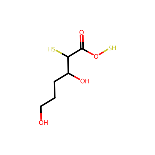 O=C(OS)C(S)C(O)CCCO